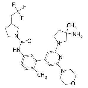 Cc1ccc(NC(=O)N2CCC(CC(F)(F)F)C2)cc1-c1cc(N2CCOCC2)nc(N2CCC(C)(N)C2)c1